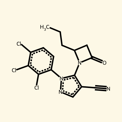 CCCC1CC(=O)N1c1c(C#N)cnn1-c1ccc(Cl)c(Cl)c1Cl